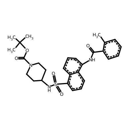 Cc1ccccc1C(=O)Nc1cccc2c(S(=O)(=O)NC3CCN(C(=O)OC(C)(C)C)CC3)cccc12